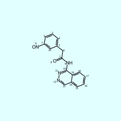 O=Nc1cccc(CC(=O)Nc2nncc3ccccc23)c1